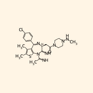 CNN1CCN(C(=O)C[C@@H]2N=C(c3ccc(Cl)cc3)c3c(sc(C)c3C)N(C(C)=N)C2=N)CC1